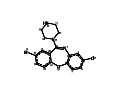 Clc1ccc2c(c1)N=C(N1CCNCC1)c1cc(Br)ccc1O2